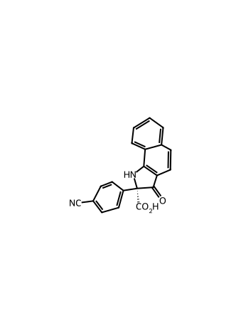 N#Cc1ccc([C@@]2(C(=O)O)Nc3c(ccc4ccccc34)C2=O)cc1